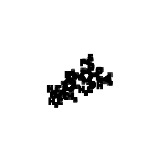 COc1cc(-c2cnc3cc(C(C)(C)C(C)=O)ccn23)cc(OC(F)F)c1C(=O)NC1CC1